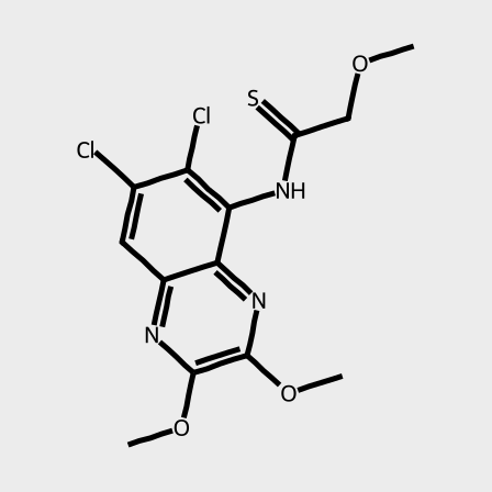 COCC(=S)Nc1c(Cl)c(Cl)cc2nc(OC)c(OC)nc12